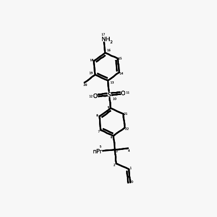 C=CCC(C)(CCC)C1=CC=C(S(=O)(=O)c2ccc(N)cc2C)CC1